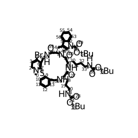 CN1CC=C(Br)C2=C1Sc1ccccc1CN[C@@H](CCCNC(=O)OC(C)(C)C)C(=O)N[C@@H](CCCCNC(=O)OC(C)(C)C)C(=O)N(C)[C@@H](Cc1cn(C(=O)OC(C)(C)C)c3ccccc13)C(=O)NC2